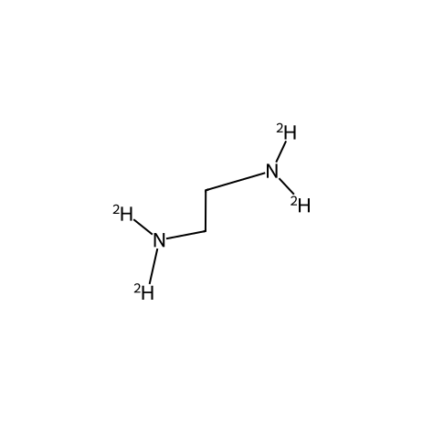 [2H]N([2H])CCN([2H])[2H]